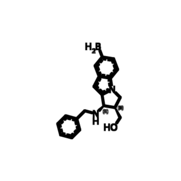 Bc1ccc2c(c1)cc1n2C[C@@H](CO)[C@H]1NCc1ccccc1